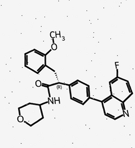 COc1ccccc1C[C@@H](C(=O)NC1CCOCC1)c1ccc(-c2ccnc3ccc(F)cc23)cc1